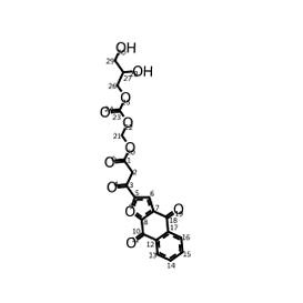 O=C(CC(=O)c1cc2c(o1)C(=O)c1ccccc1C2=O)OCOC(=O)OCC(O)CO